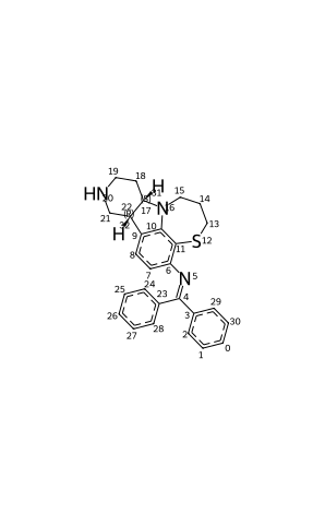 c1ccc(C(=Nc2ccc3c4c2SCCCN4[C@H]2CCNC[C@@H]32)c2ccccc2)cc1